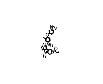 C=CC(=O)N1CCc2[nH]c3ncnc(Nc4ccc(Oc5ccc6ncnn6c5)c(C)c4)c3c2C1